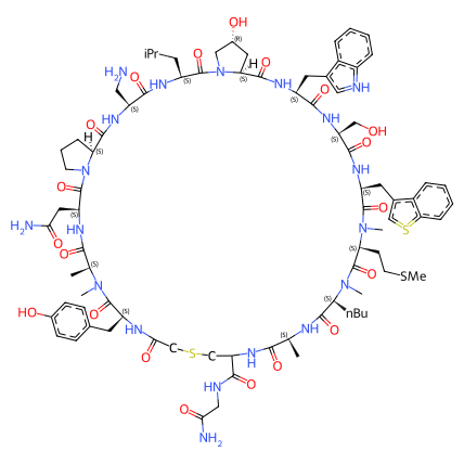 CCCC[C@H]1C(=O)N[C@@H](C)C(=O)NC(C(=O)NCC(N)=O)CSCC(=O)N[C@@H](Cc2ccc(O)cc2)C(=O)N(C)[C@@H](C)C(=O)N[C@@H](CC(N)=O)C(=O)N2CCC[C@H]2C(=O)N[C@@H](CN)C(=O)N[C@@H](CC(C)C)C(=O)N2C[C@H](O)C[C@H]2C(=O)N[C@@H](Cc2c[nH]c3ccccc23)C(=O)N[C@@H](CO)C(=O)N[C@@H](Cc2csc3ccccc23)C(=O)N(C)[C@@H](CCSC)C(=O)N1C